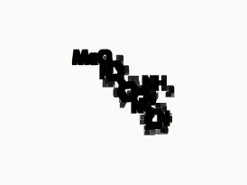 COc1ccc(-c2ccc3nc(-c4cccnc4)nc(N)c3c2)cn1